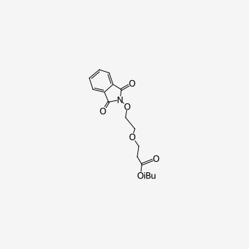 CC(C)COC(=O)CCOCCON1C(=O)c2ccccc2C1=O